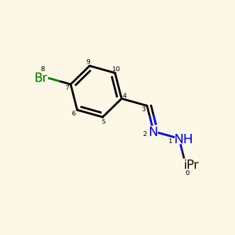 CC(C)N/N=C/c1ccc(Br)cc1